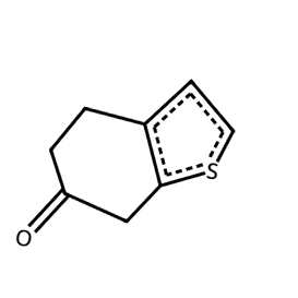 O=C1CCc2ccsc2C1